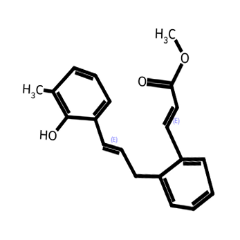 COC(=O)/C=C/c1ccccc1C/C=C/c1cccc(C)c1O